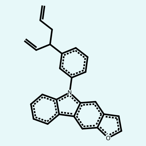 C=CCC(C=C)c1cccc(-n2c3ccccc3c3cc4occc4cc32)c1